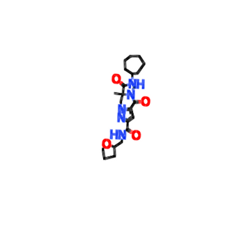 CN1C(=O)c2cc(C(=O)NCC3CCCO3)nn2CC1(C)C(=O)NC1CCCCCC1